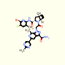 Cc1ncc(-c2cc3c(C(N)=O)nn(CC(=O)N4[C@H](C(=O)Nc5nc(Br)c(F)cc5C)C[C@@]5(C)C#C[C@@H]45)c3c(C)n2)cn1